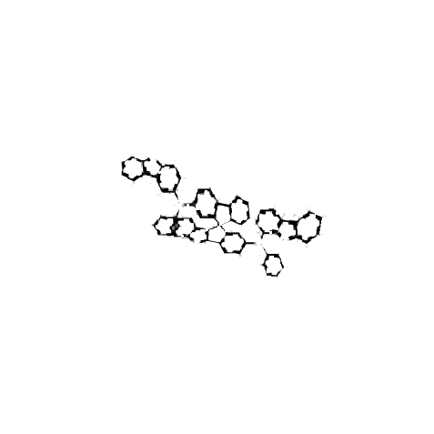 c1ccc(N(c2ccc3c(c2)C2(c4ccccc4-3)c3cc(N(c4ccccc4)c4cccc5c4oc4ccccc45)ccc3-c3sc4ccccc4c32)c2ccc3sc4ccccc4c3c2)cc1